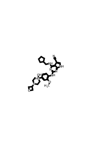 COc1cc([PH]2(O)CCN(C3COC3)CC2)ccc1Nc1nc(NCC2CCCC2)c2c(C#N)c[nH]c2n1